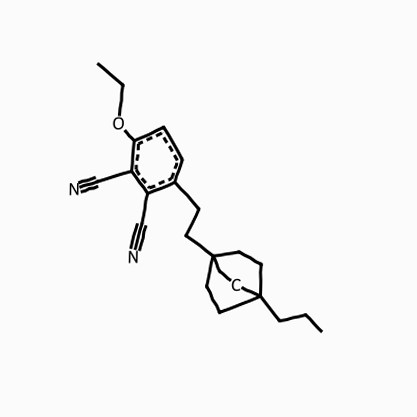 CCCC12CCC(CCc3ccc(OCC)c(C#N)c3C#N)(CC1)CC2